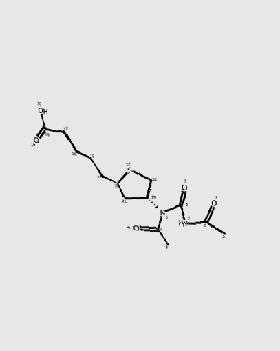 CC(=O)NC(=O)N(C(C)=O)[C@H]1CS[C@H](CCCCC(=O)O)C1